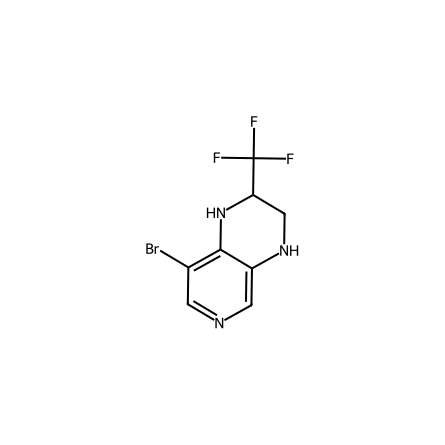 FC(F)(F)C1CNc2cncc(Br)c2N1